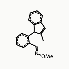 CON=Cc1ccccc1C1C(C)=Cc2ccccc21